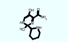 NC(=O)C1=NC(O)(C2CCCCN2)NC=C1O